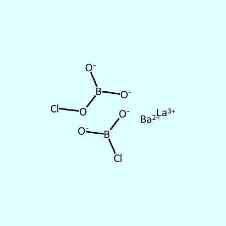 [Ba+2].[La+3].[O-]B([O-])Cl.[O-]B([O-])OCl